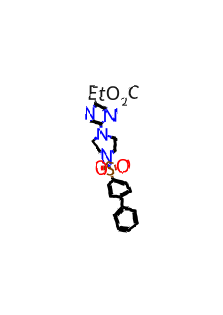 CCOC(=O)c1cnc(N2CCN(S(=O)(=O)c3ccc(-c4ccccc4)cc3)CC2)cn1